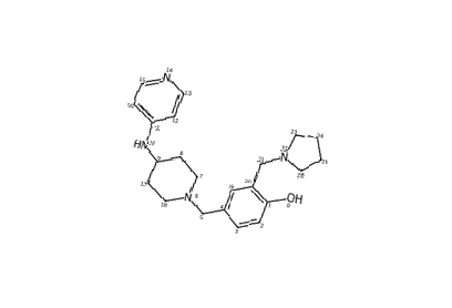 Oc1ccc(CN2CCC(Nc3ccncc3)CC2)cc1CN1CCCC1